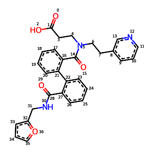 O=C(O)CCN(CCc1cccnc1)C(=O)c1ccccc1-c1ccccc1C(=O)NCc1ccco1